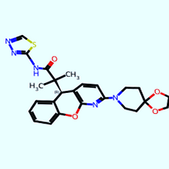 CC(C)(C(=O)Nc1nncs1)[C@@H]1c2ccccc2Oc2nc(N3CCC4(CC3)OCCO4)ccc21